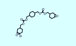 O=C(OCC1CCC(COC(=O)OCC2CC[C@@H]3OC3C2)CC1)OCC1CCC2OC2C1